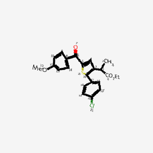 CCOC(=O)C(C)c1cc(C(=O)c2ccc(OC)cc2)sc1-c1ccc(Cl)cc1